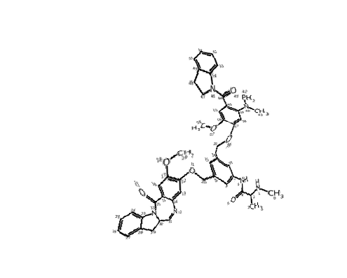 CNC(C)C(=O)Nc1cc(COc2cc3c(cc2OC)C(=O)N2c4ccccc4CC2C=N3)cc(COc2cc(N(C)P)c(C(=O)N3CCc4ccccc43)cc2OC)c1